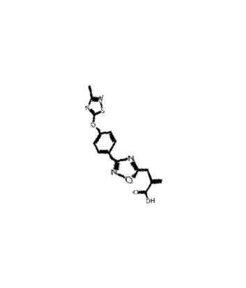 C=C(Cc1nc(-c2ccc(Oc3nc(C)ns3)cc2)no1)C(=O)O